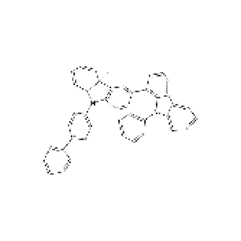 CC12C=CC=CC1N(c1ccc(-c3ccccc3)cc1)c1ccc(-c3cccc4c5ccccc5n(-c5ccccc5)c34)cc12